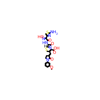 COc1cccc(N2CCC(=CC3=C(C(=O)O)N4C(=O)[C@@H](NC(=O)C(=NO)c5csc(N)n5)[C@H]4SC3)C2=O)c1